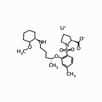 CO[C@H]1CCCC[C@H]1NCCC[C@@H](C)Oc1cc(C)ccc1S(=O)(=O)N1CCC[C@H]1C(=O)[O-].[Li+]